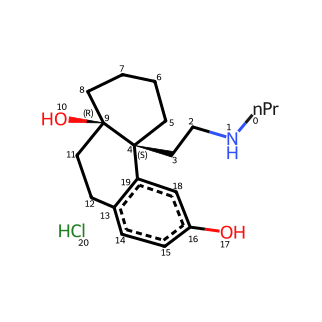 CCCNCC[C@]12CCCC[C@@]1(O)CCc1ccc(O)cc12.Cl